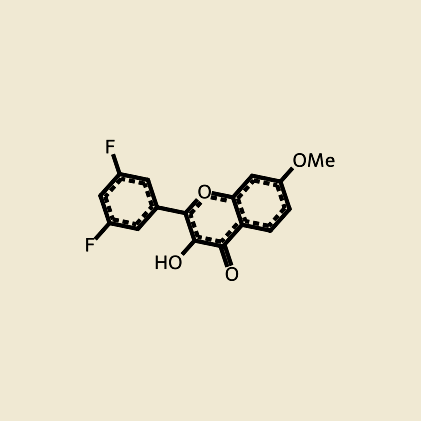 COc1ccc2c(=O)c(O)c(-c3cc(F)cc(F)c3)oc2c1